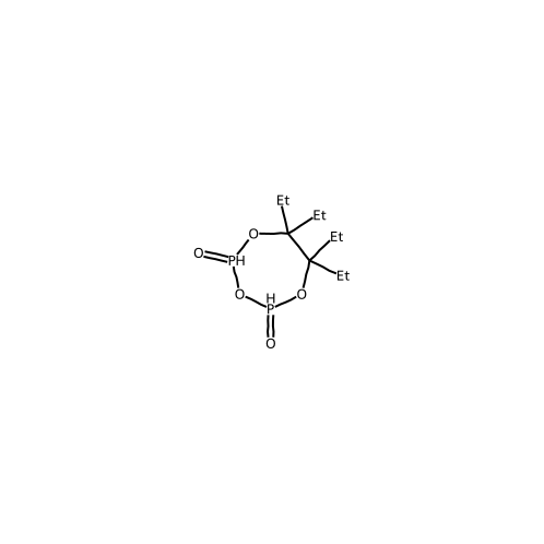 CCC1(CC)O[PH](=O)O[PH](=O)OC1(CC)CC